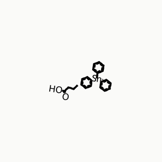 CCCC(=O)O.c1cc[c]([Sn]([c]2ccccc2)[c]2ccccc2)cc1